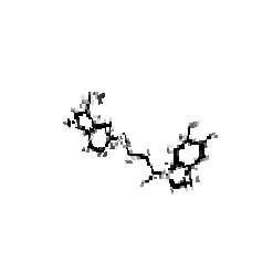 Cc1cc2ncn(C(C)CCOc3ccc4[nH]cc(C(C)C)c4n3)c2cc1C